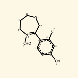 N#Cc1ccc(C2=[N+](C=O)CCCOC2)c(Cl)c1